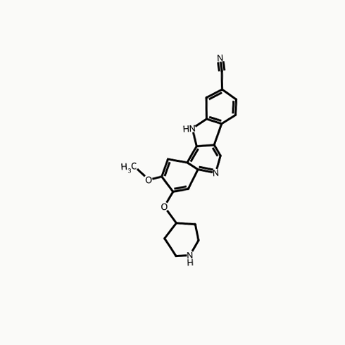 COc1cc2c(cc1OC1CCNCC1)ncc1c3ccc(C#N)cc3[nH]c21